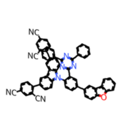 N#Cc1ccc(-c2ccc3c(c2)c2cc(-c4ccc(C#N)cc4C#N)ccc2n3-c2ccc(-c3ccc4oc5ccccc5c4c3)cc2-c2nc(-c3ccccc3)nc(-c3ccccc3)n2)c(C#N)c1